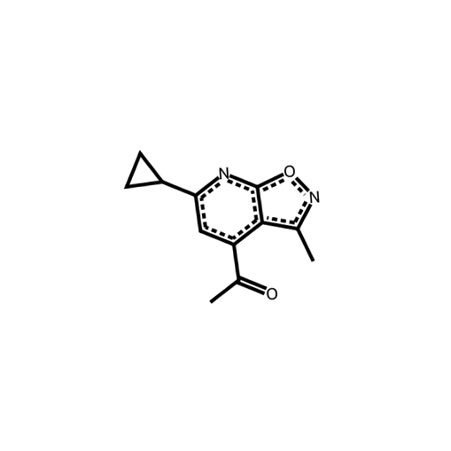 CC(=O)c1cc(C2CC2)nc2onc(C)c12